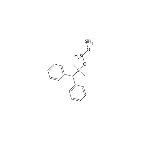 C[Si](C)(O[SiH2]O[SiH3])C(c1ccccc1)c1ccccc1